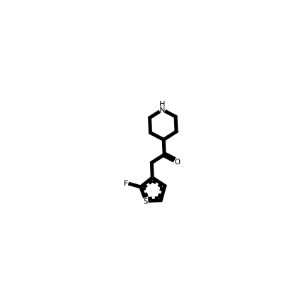 O=C(Cc1ccsc1F)C1[CH]CNCC1